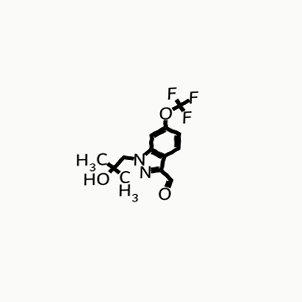 CC(C)(O)Cn1nc(C=O)c2ccc(OC(F)(F)F)cc21